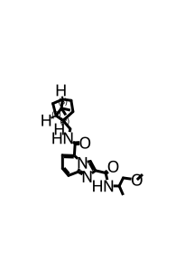 COCC(C)NC(=O)c1cn2c(C(=O)NC[C@@H]3CC[C@H]4C[C@@H]3C4(C)C)cccc2n1